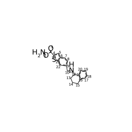 NOC(=O)c1cc2ccc(CNC3CCCc4ccccc43)cc2s1